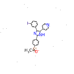 C[S@@+]([O-])c1ccc(-c2nc(-c3cccc(I)c3)c(-c3ccncc3)[nH]2)cc1